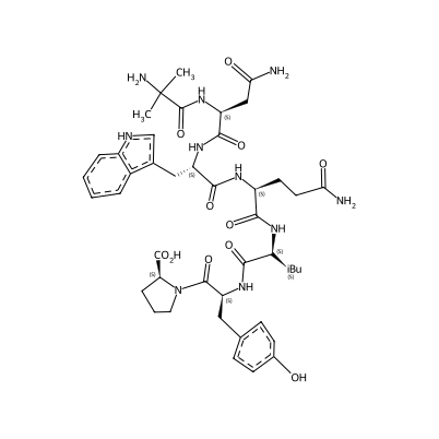 CC[C@H](C)[C@H](NC(=O)[C@H](CCC(N)=O)NC(=O)[C@H](Cc1c[nH]c2ccccc12)NC(=O)[C@H](CC(N)=O)NC(=O)C(C)(C)N)C(=O)N[C@@H](Cc1ccc(O)cc1)C(=O)N1CCC[C@H]1C(=O)O